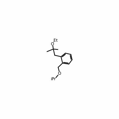 CCOC(C)(C)Cc1ccccc1COC(C)C